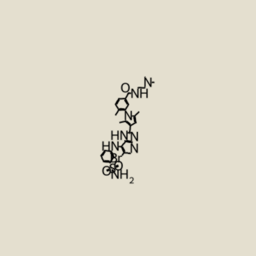 Cc1ccc(C(=O)NCCN(C)C)cc1-n1c(C)cc(-c2nc3ncc(Br)c(Nc4cccc(S(N)(=O)=O)c4)c3[nH]2)c1C